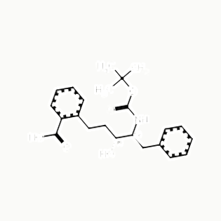 CC(C)(C)OC(=O)N[C@@H](Cc1ccccc1)[C@H](O)CCc1ccccc1C(=O)O